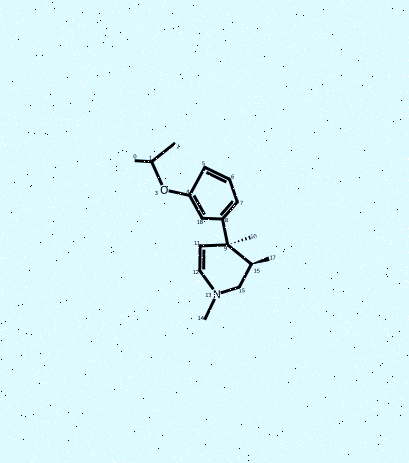 CC(C)Oc1cccc([C@]2(C)C=CN(C)C[C@@H]2C)c1